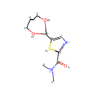 CN(C)C(=O)c1ncc(C2OCCCO2)s1